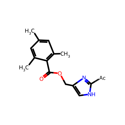 CC(=O)c1nc(COC(=O)c2c(C)cc(C)cc2C)c[nH]1